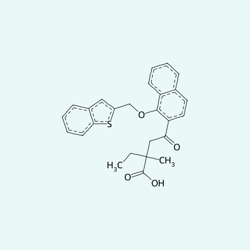 CCC(C)(CC(=O)c1ccc2ccccc2c1OCc1cc2ccccc2s1)C(=O)O